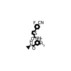 Cc1ccc(C(=O)NC2CC2)cc1NC(=O)c1ccc(-c2ccc(C#N)c(F)c2)s1